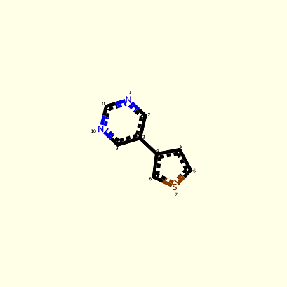 c1ncc(-c2ccsc2)cn1